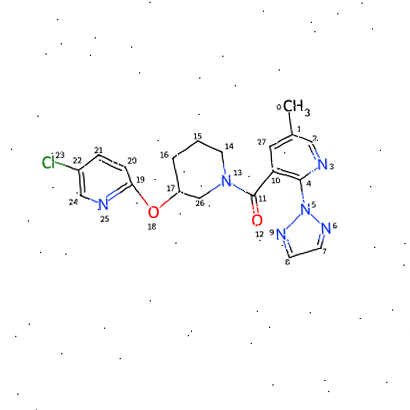 Cc1cnc(-n2nccn2)c(C(=O)N2CCCC(Oc3ccc(Cl)cn3)C2)c1